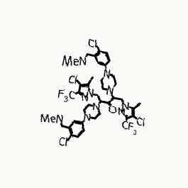 CNCc1cc(N2CCN(C(Cn3nc(C(F)(F)F)c(Cl)c3C)C(=O)C(Cn3nc(C(F)(F)F)c(Cl)c3C)N3CCN(c4ccc(Cl)c(CNC)c4)CC3)CC2)ccc1Cl